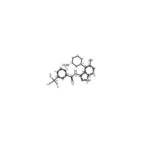 N[C@@H]1CCCN(c2c(Br)cnc3[nH]cc(NC(=O)c4cccc(C(F)(F)F)c4)c23)C1